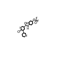 OC(Nc1ccc(OC(F)(F)Cl)cc1)c1cnc(Cl)c(-c2cccnc2)c1